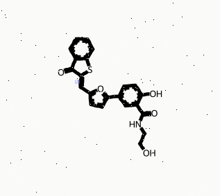 O=C(NCCO)c1cc(-c2ccc(/C=C3\Sc4ccccc4C3=O)o2)ccc1O